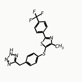 Cc1nc(-c2ccc(C(F)(F)F)cc2)sc1Sc1ccc(Cc2nn[nH]n2)cc1